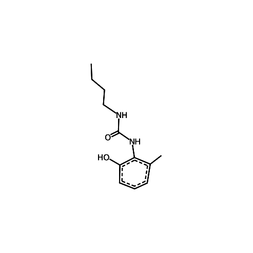 CCCCNC(=O)Nc1c(C)cccc1O